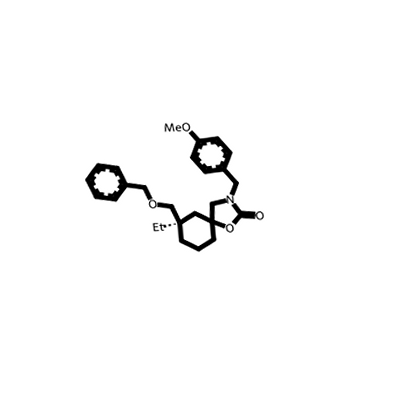 CC[C@@]1(COCc2ccccc2)CCCC2(CN(Cc3ccc(OC)cc3)C(=O)O2)C1